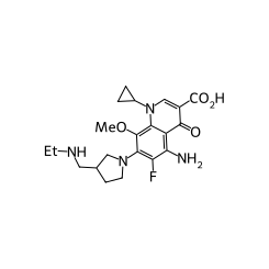 CCNCC1CCN(c2c(F)c(N)c3c(=O)c(C(=O)O)cn(C4CC4)c3c2OC)C1